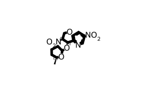 C[C@H]1CCCC(O[C@H]2c3ncc([N+](=O)[O-])cc3OC[C@@H]2[N+](=O)[O-])O1